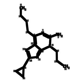 CCCCc1nc(N)n(CCC)c2nc(C3CC3)nc1-2